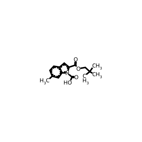 Cc1ccc2cc(C(=O)OCC(C)(C)C)n(C(=O)O)c2c1